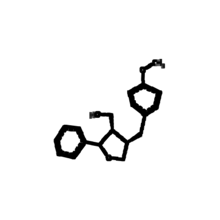 COc1ccc(C[C@H]2COC(c3ccccc3)[C@H]2CO)cc1